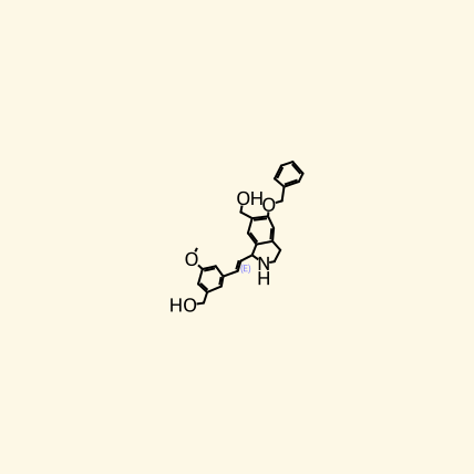 COc1cc(/C=C/C2NCCc3cc(OCc4ccccc4)c(CO)cc32)cc(CO)c1